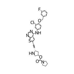 O=C(O[C@H]1CN[C@H](C#Cc2cc3c(Nc4ccc(OCc5cccc(F)c5)c(Cl)c4)ncnc3s2)C1)N1CCCC1